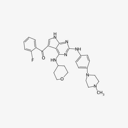 CN1CCN(c2ccc(Nc3nc(NC4CCOCC4)c4c(C(=O)c5ccccc5F)c[nH]c4n3)cc2)CC1